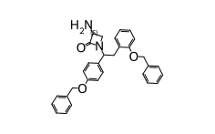 N[C@H]1CN(C(Cc2ccccc2OCc2ccccc2)c2ccc(OCc3ccccc3)cc2)C1=O